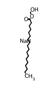 CCCCCCCCCCCCCCCCCC(=O)OCO.[NaH]